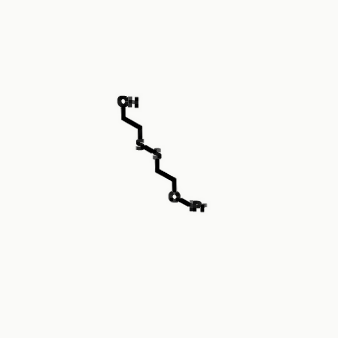 CC(C)OCCSSCCO